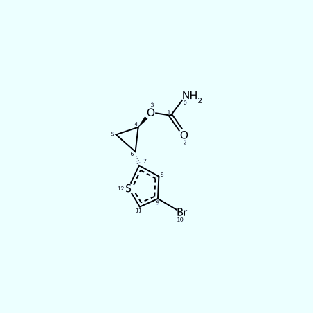 NC(=O)O[C@@H]1C[C@H]1c1cc(Br)cs1